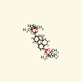 CC1(C)OB(c2ccc3c4c2CCCC42CCCc4c(B5OC(C)(C)C(C)(C)O5)ccc-3c42)OC1(C)C